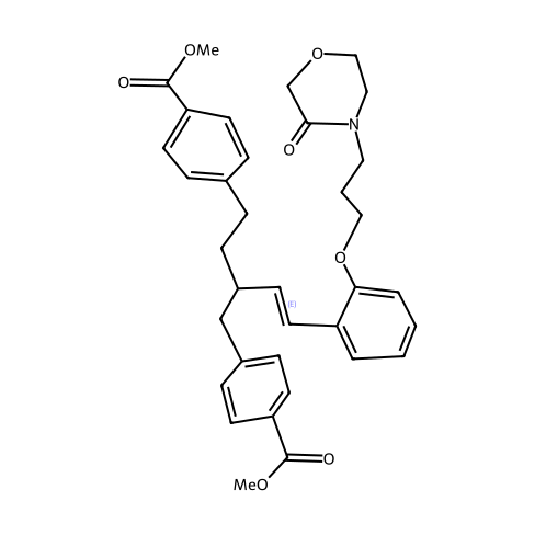 COC(=O)c1ccc(CCC(/C=C/c2ccccc2OCCCN2CCOCC2=O)Cc2ccc(C(=O)OC)cc2)cc1